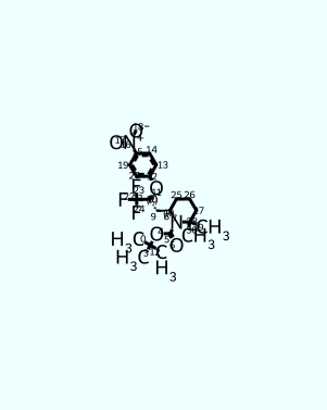 CC(C)(C)OC(=O)N1[C@@H](C[C@@H](Oc2ccc([N+](=O)[O-])cc2)C(F)(F)F)CCCC1(C)C